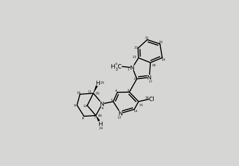 Cn1c(-c2cc(N3[C@@H]4CCC[C@H]3C4)ncc2Cl)nc2ccccc21